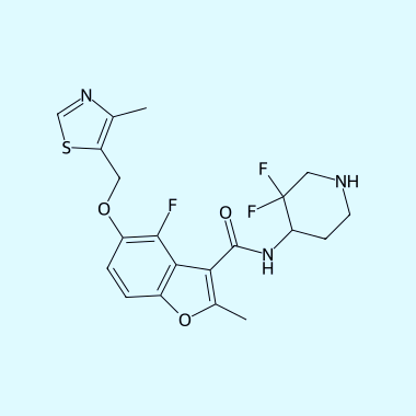 Cc1ncsc1COc1ccc2oc(C)c(C(=O)NC3CCNCC3(F)F)c2c1F